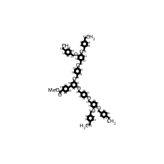 C=Cc1ccc(COc2ccc(COc3ccc(COc4cc(OCc5ccc(OCc6ccc(OCc7ccc(C=C)cc7)c(OCc7ccc(C=C)cc7)c6)cc5)cc(-c5ccc(C(=O)OC)cc5)c4)cc3)cc2OCc2ccc(C=C)cc2)cc1